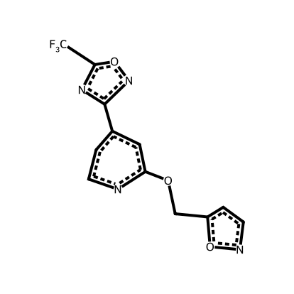 FC(F)(F)c1nc(-c2ccnc(OCc3ccno3)c2)no1